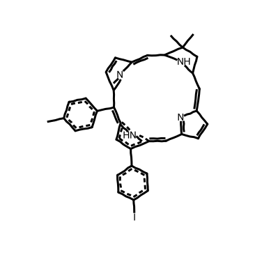 Cc1ccc(/C2=c3\cc(-c4ccc(I)cc4)/c([nH]3)=C/C3=NC(=C\C4CC(C)(C)C(/C=C5/C=CC2=N5)N4)/C=C3)cc1